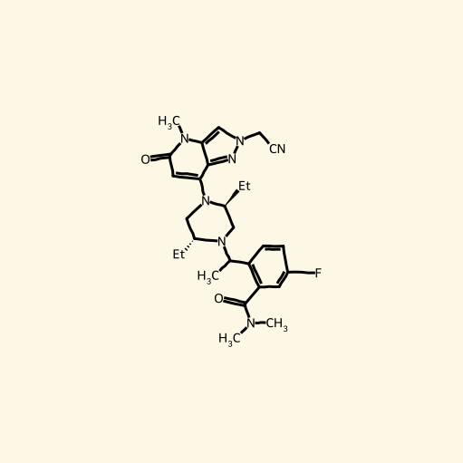 CC[C@H]1CN(C(C)c2ccc(F)cc2C(=O)N(C)C)[C@H](CC)CN1c1cc(=O)n(C)c2cn(CC#N)nc12